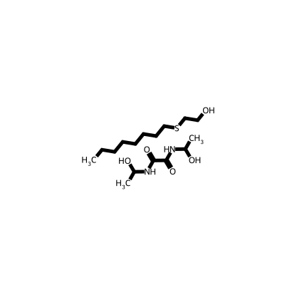 CC(O)NC(=O)C(=O)NC(C)O.CCCCCCCCSCCO